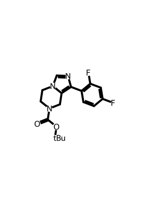 CC(C)(C)OC(=O)N1CCn2cnc(-c3ccc(F)cc3F)c2C1